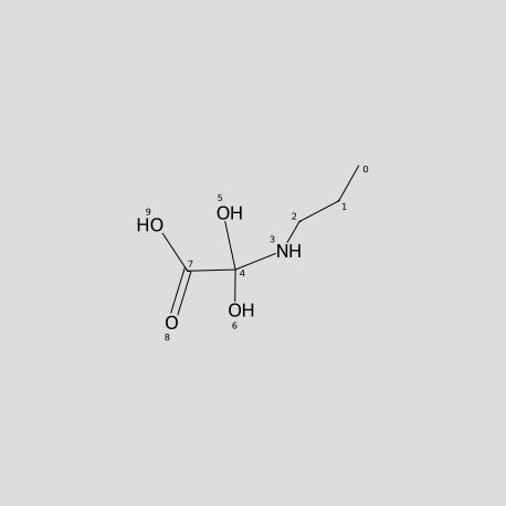 CCCNC(O)(O)C(=O)O